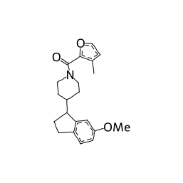 COc1ccc2c(c1)C(C1CCN(C(=O)c3occc3C)CC1)CC2